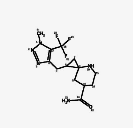 Cn1nnc(CC2CC23CC(C(N)=O)CCN3)c1C(F)(F)F